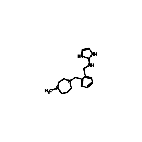 CN1CCCN(Cc2ccccc2CNC2NC=CN2)CC1